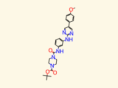 COc1ccc(-c2cnc(Nc3cccc(NC(=O)N4CCN(C(=O)OC(C)(C)C)CC4)c3)nc2)cc1